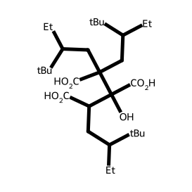 CCC(CC(C(=O)O)C(O)(C(=O)O)C(CC(CC)C(C)(C)C)(CC(CC)C(C)(C)C)C(=O)O)C(C)(C)C